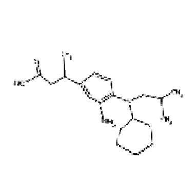 CC(C)CN(c1ccc(C(C)CC(=O)O)cc1N)C1CCCCC1